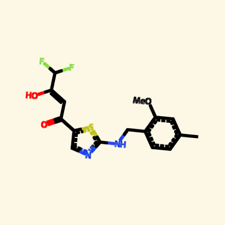 COc1cc(C)ccc1CNc1ncc(C(=O)/C=C(\O)C(F)F)s1